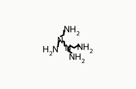 NCCCN(CCN)CCN(CCN)CCCN